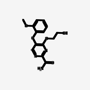 COc1ccccc1Oc1[c]nc(C(N)=O)nc1OCCO